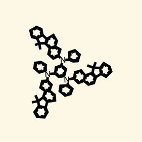 CC1(C)c2ccccc2-c2ccc3cc(N(c4ccccc4)c4cc(N(c5ccccc5)c5ccc6c7c(ccc6c5)-c5ccccc5C7(C)C)cc(N(c5ccccc5)c5ccc6c7c(ccc6c5)-c5ccccc5C7(C)C)c4)ccc3c21